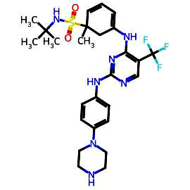 CC(C)(C)NS(=O)(=O)C1(C)C=CC=C(Nc2nc(Nc3ccc(N4CCNCC4)cc3)ncc2C(F)(F)F)C1